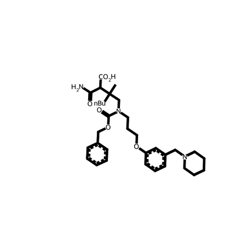 CCCCC(C)(CN(CCCOc1cccc(CN2CCCCC2)c1)C(=O)OCc1ccccc1)C(C(N)=O)C(=O)O